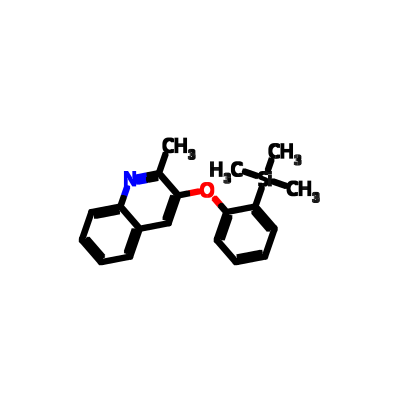 Cc1nc2ccccc2cc1Oc1ccccc1[Si](C)(C)C